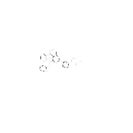 CC(C)C(O)c1cncc(-c2nc(NCc3ccccn3)c3c(n2)=CCCC=3C2=CC=CCC2)c1